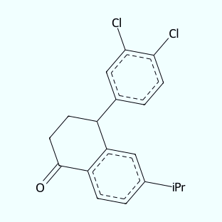 CC(C)c1ccc2c(c1)C(c1ccc(Cl)c(Cl)c1)CCC2=O